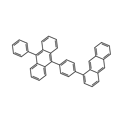 c1ccc(-c2c3ccccc3c(-c3ccc(-c4cccc5cc6ccccc6cc45)cc3)c3ccccc23)cc1